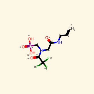 C=CCNC(=O)CN(CP(=O)(O)O)C(=O)C(F)(F)F